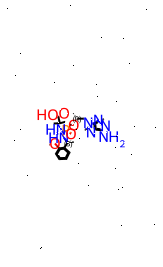 COc1ccccc1[C@H](C)NP(=O)(CO[C@H](C)Cn1cnc2c(N)ncnc21)NC(C)(C)C(=O)O